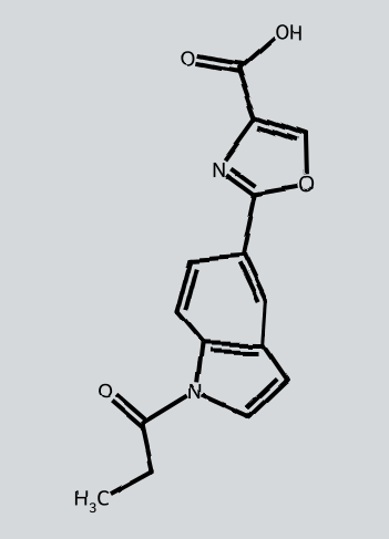 CCC(=O)n1ccc2cc(-c3nc(C(=O)O)co3)ccc21